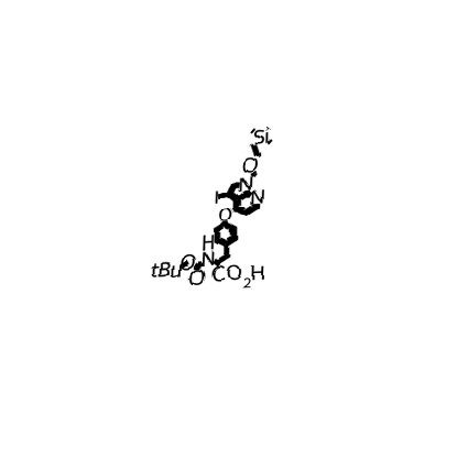 CC(C)(C)OC(=O)N[C@@H](Cc1ccc(Oc2ccnc3c2c(I)cn3COCC[Si](C)(C)C)cc1)C(=O)O